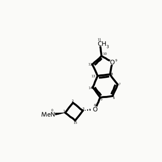 CN[C@H]1C[C@H](Oc2ccc3oc(C)cc3c2)C1